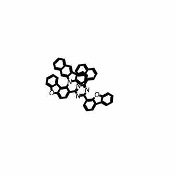 c1ccc2cc3c(cc2c1)c1ccccc1n3-c1c(-c2nc(-c3cccc4ccccc34)nc(-c3cccc4c3oc3ccccc34)n2)ccc2oc3ccccc3c12